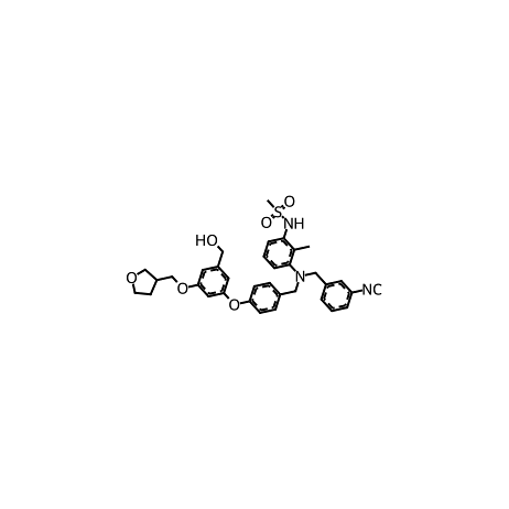 [C-]#[N+]c1cccc(CN(Cc2ccc(Oc3cc(CO)cc(OCC4CCOC4)c3)cc2)c2cccc(NS(C)(=O)=O)c2C)c1